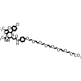 Cc1sc2c(c1C)C(c1ccc(Cl)cc1)=NC(CC(=O)Nc1ccc(OCCOCCOCCOCCOCCOCCOCCOCC(=O)O)cc1)c1nnc(C)n1-2